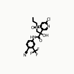 CCCS(=O)(=O)CC(O)(C(=O)Nc1ccc(C#N)c(C(F)(F)F)c1)c1ccc(Cl)nc1